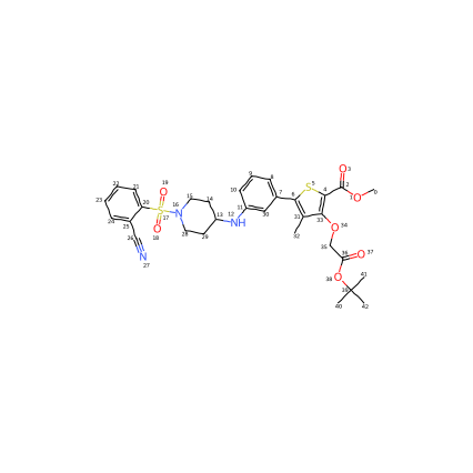 COC(=O)c1sc(-c2cccc(NC3CCN(S(=O)(=O)c4ccccc4C#N)CC3)c2)c(C)c1OCC(=O)OC(C)(C)C